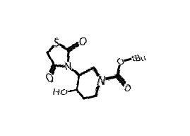 CC(C)(C)OC(=O)N1CCC(O)C(N2C(=O)CSC2=O)C1